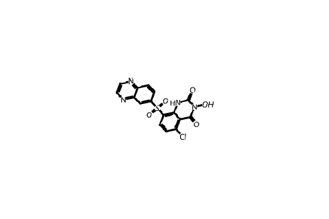 O=c1[nH]c2c(S(=O)(=O)c3ccc4nccnc4c3)ccc(Cl)c2c(=O)n1O